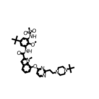 COc1c(NC(=O)c2cc3cccc(Oc4ccnc(CCN5CCN(C(C)(C)C)CC5)n4)c3n2C)cc(C(C)(C)C)cc1NS(C)(=O)=O